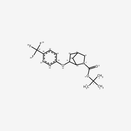 CC(C)(C)OC(=O)N1CC2CC(Oc3ccc(C(F)(F)F)nn3)C1C2